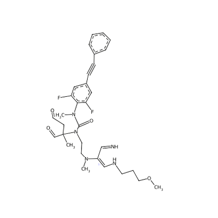 COCCCN/C=C(\C=N)N(C)CCN(C(=O)N(C)c1c(F)cc(C#Cc2ccccc2)cc1F)C(C)(C=O)CC=O